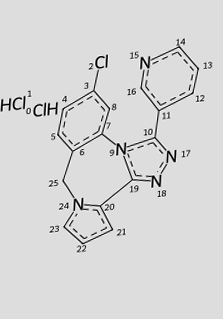 Cl.Cl.Clc1ccc2c(c1)-n1c(-c3cccnc3)nnc1-c1cccn1C2